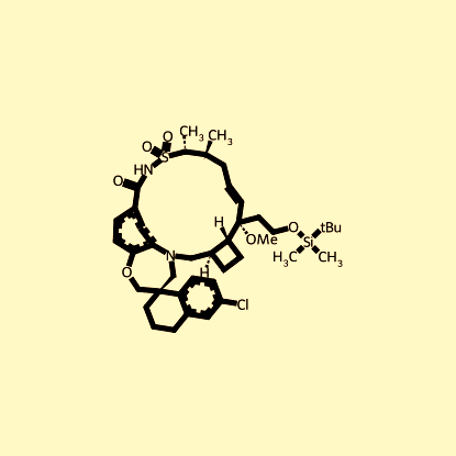 CO[C@@]1(CCO[Si](C)(C)C(C)(C)C)/C=C/C[C@H](C)[C@@H](C)S(=O)(=O)NC(=O)c2ccc3c(c2)N(C[C@@H]2CC[C@H]21)C[C@@]1(CCCc2cc(Cl)ccc21)CO3